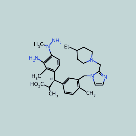 CCC1CCN(Cc2nccn2Cc2cc([C@H](c3ccc(N(C)N)c(N)c3C)C(C)C(=O)O)ccc2C)CC1